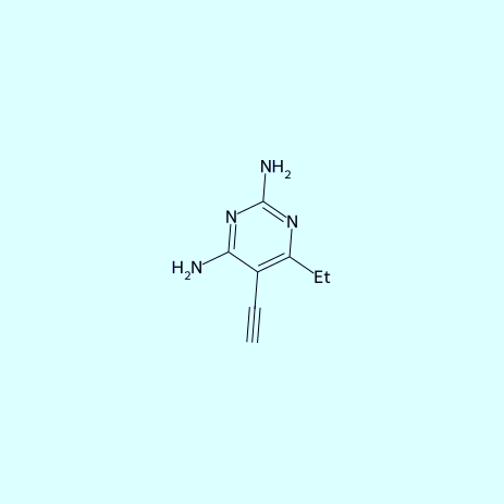 C#Cc1c(N)nc(N)nc1CC